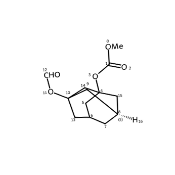 COC(=O)OC12CC3C[C@@H](CC(OC=O)(C3)C1)C2